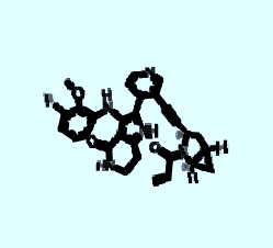 C=CC(=O)N1[C@@H](C#Cc2cnccc2-c2[nH]c3c(c2Nc2cccc(F)c2OC)C(=O)NCC3)C[C@@H]2C[C@@H]21